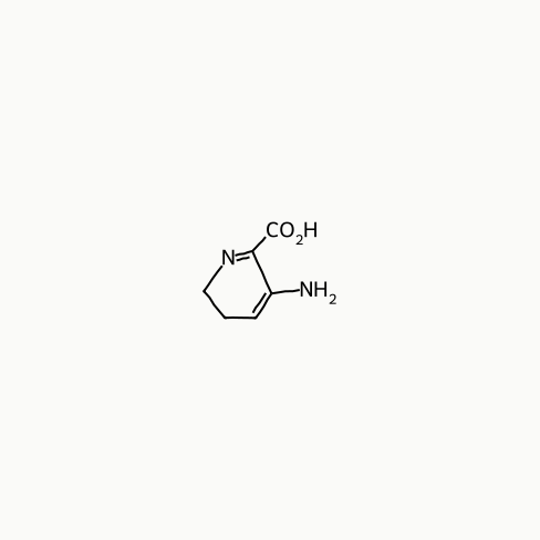 NC1=CCCN=C1C(=O)O